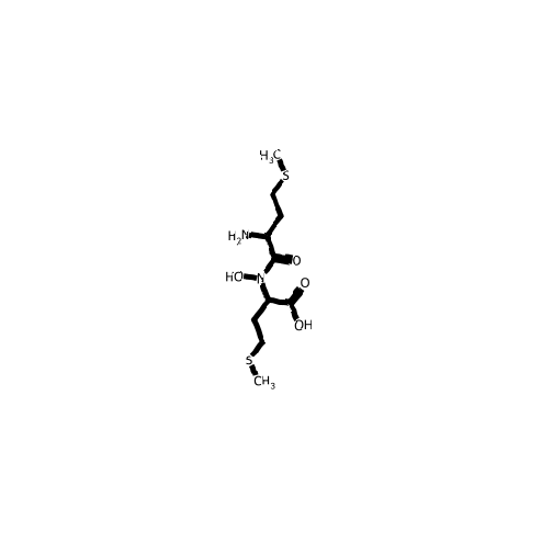 CSCCC(N)C(=O)N(O)C(CCSC)C(=O)O